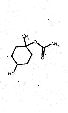 CC1(OC(N)=O)CCC(O)CC1